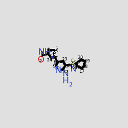 NC(=O)c1cccc(-c2cnc(N)c(-c3nc4ccccc4s3)c2)c1